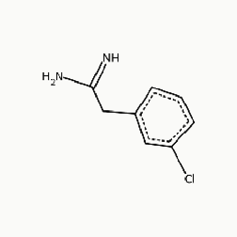 N=C(N)Cc1cccc(Cl)c1